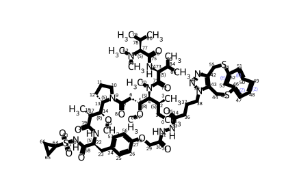 CC[C@H](C)[C@@H]([C@@H](CC(=O)N1CCC[C@H]1[C@H](OC)[C@@H](C)C(=O)N[C@@H](Cc1ccc(OCC(=O)NNC(=O)CCCn2nnc3c2CSC2=C\C=C/C=C/C(=C\2)SC3)cc1)C(=O)NS(=O)(=O)C1CC1)OC)N(C)C(=O)[C@@H](NC(=O)[C@H](C(C)C)N(C)C)C(C)C